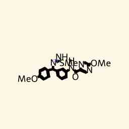 COc1ccc(C(/N=C(/N)SC)c2cccc(NC(=O)c3cnc(OC)cn3)c2)cc1